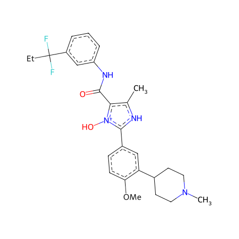 CCC(F)(F)c1cccc(NC(=O)c2c(C)[nH]c(-c3ccc(OC)c(C4CCN(C)CC4)c3)[n+]2O)c1